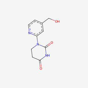 O=C1CCN(c2cc(CO)ccn2)C(=O)N1